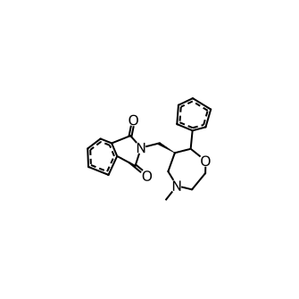 CN1CCOC(c2ccccc2)[C@H](CN2C(=O)c3ccccc3C2=O)C1